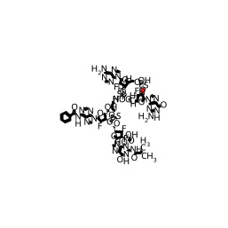 CC(C)C(=O)Nc1nc2c(ncn2[C@@H]2O[C@H](COP(=S)(OCCC#N)O[C@H]3[C@H](F)[C@H](n4cnc5c(NC(=O)c6ccccc6)ncnc54)O[C@@H]3CO)[C@@H](F)[C@H]2P(=O)(O)O)c(=O)[nH]1.Nc1nc2c(ncn2[C@@H]2O[C@@H]3COP(O)(=S)O[C@H]4[C@H](F)[C@H](n5cnc6c(N)ncnc65)O[C@@H]4COP(O)(=S)O[C@@H]2[C@@H]3F)c(=O)[nH]1